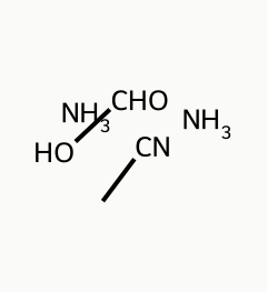 CC#N.N.N.O=CO